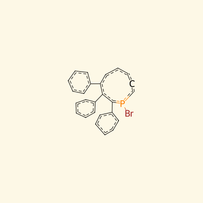 Brp1cccccc(-c2ccccc2)c(-c2ccccc2)c1-c1ccccc1